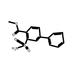 COC(=O)c1ccc(-c2ccccc2)cc1S(N)(=O)=O